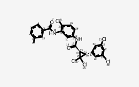 Cc1cccc(C(=O)Nc2cc(NC(=O)[C@H]3[C@H](c4cc(Cl)cc(Cl)c4)C3(Cl)Cl)ccc2Cl)c1